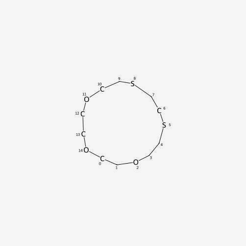 C1COCCSCCSCCOCCO1